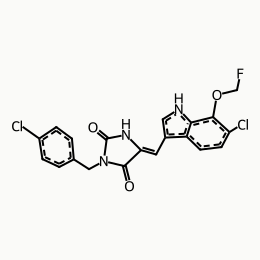 O=C1N/C(=C\c2c[nH]c3c(OCF)c(Cl)ccc23)C(=O)N1Cc1ccc(Cl)cc1